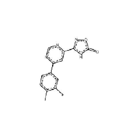 Cc1ccc(-c2cc(-c3noc(=O)[nH]3)ncn2)cc1F